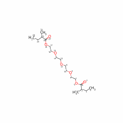 CCC(C)C(=O)OCCOCCOCCOCCOC(=O)C(C)CC